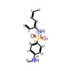 C=C/C(=C\C=C/C)NS(=O)(=O)c1ccc(NC)cc1